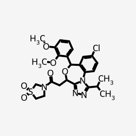 COc1cccc(C2OC(CC(=O)N3CCS(=O)(=O)C3)c3nnc(C(C)C)n3-c3ccc(Cl)cc32)c1OC